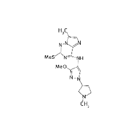 COc1nn(C2CCN(C)C2)cc1Nc1nc(SC)nn2c(C)cnc12